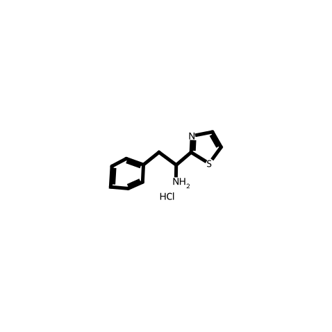 Cl.NC(Cc1ccccc1)c1nccs1